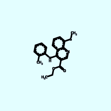 CCOC(=O)c1cnc2c(SC)cccc2c1Nc1ccccc1C